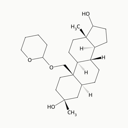 C[C@@]1(O)CC[C@@]2(COC3CCCCO3)[C@@H](CC[C@@H]3[C@@H]2CC[C@]2(C)C(O)CC[C@@H]32)C1